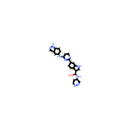 OC(Nc1ccnnc1)c1c[nH]c2cc(-c3nccc(Nc4ccc5[nH]ncc5c4)n3)ccc12